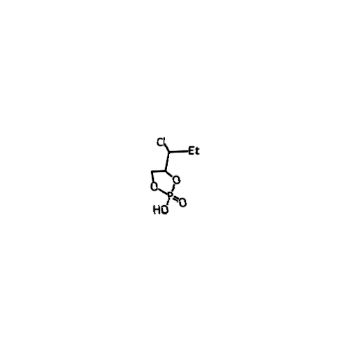 CCC(Cl)C1COP(=O)(O)O1